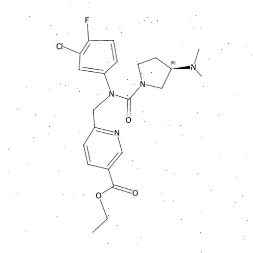 CCOC(=O)c1ccc(CN(C(=O)N2CC[C@@H](N(C)C)C2)c2ccc(F)c(Cl)c2)nc1